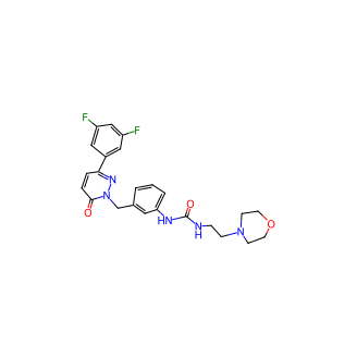 O=C(NCCN1CCOCC1)Nc1cccc(Cn2nc(-c3cc(F)cc(F)c3)ccc2=O)c1